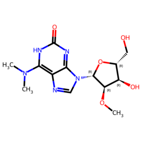 CO[C@@H]1[C@H](O)[C@@H](CO)O[C@H]1n1cnc2c(N(C)C)[nH]c(=O)nc21